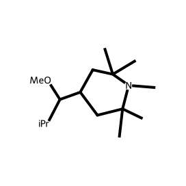 COC(C(C)C)C1CC(C)(C)N(C)C(C)(C)C1